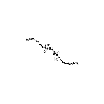 CCCCCCCCCCCCCCCCCCC(O)C(=O)NCCCCNC(=O)C(O)CCCCCCCCCCCCCCCCCC